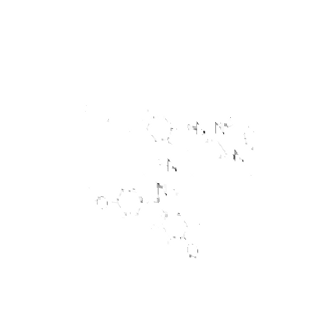 CCCCCCCc1ccc(C#N)c(CN2CCN(C(c3ccc(OC)cc3)c3ccc(OC)cc3)CC2)c1.CN1C=CC=NC=C1